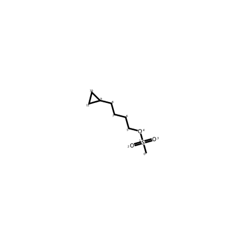 CS(=O)(=O)OCCCCC1CC1